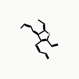 C=C/C=C\c1c(C=C)sc(=C/C)/c1=C\C=C/C